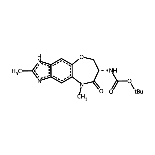 Cc1nc2cc3c(cc2[nH]1)OC[C@H](NC(=O)OC(C)(C)C)C(=O)N3C